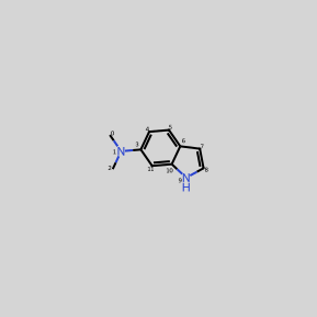 CN(C)c1ccc2cc[nH]c2c1